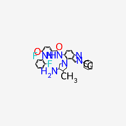 C[C@@H]1CN(c2c(NC(=O)c3ccc(=O)n(-c4c(F)cccc4F)n3)ccc3nn(C45CCC(CC4)CC5)cc23)C[C@@H]1N